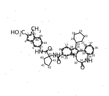 Cn1c(C(=O)O)cc2cc(NC(=O)C3(NC(=O)c4ccc5c(C6CCCCC6)c6n(c5c4)CC(=O)Nc4ccccc4-6)CCCC3)ccc21